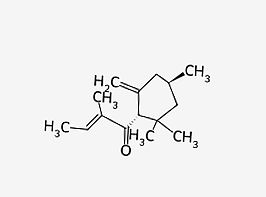 C=C1C[C@@H](C)CC(C)(C)[C@@H]1C(=O)/C(C)=C/C